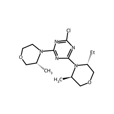 CC[C@@H]1COC[C@@H](C)N1c1nc(Cl)nc(N2CCOC[C@H]2C)n1